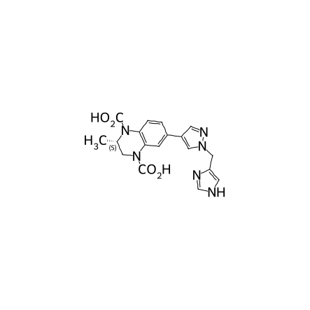 C[C@H]1CN(C(=O)O)c2cc(-c3cnn(Cc4c[nH]cn4)c3)ccc2N1C(=O)O